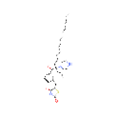 CCCCCCCCCCCCCCC(CCC)(C(=O)c1cccc(CC2SC(=O)NC2=O)c1)N1CCNCC1